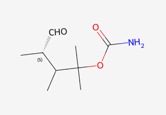 CC([C@H](C)C=O)C(C)(C)OC(N)=O